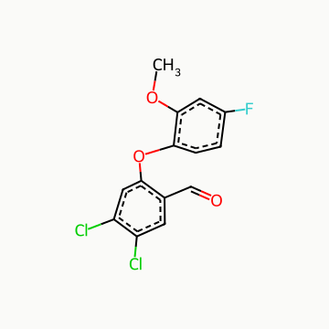 COc1cc(F)ccc1Oc1cc(Cl)c(Cl)cc1C=O